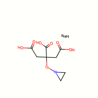 O=C(O)CC(CC(=O)O)(ON1CC1)C(=O)O.[NaH]